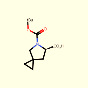 CC(C)(C)OC(=O)N1CC2(CC2)C[C@@H]1C(=O)O